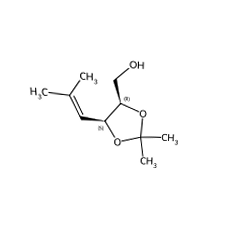 CC(C)=C[C@@H]1OC(C)(C)O[C@@H]1CO